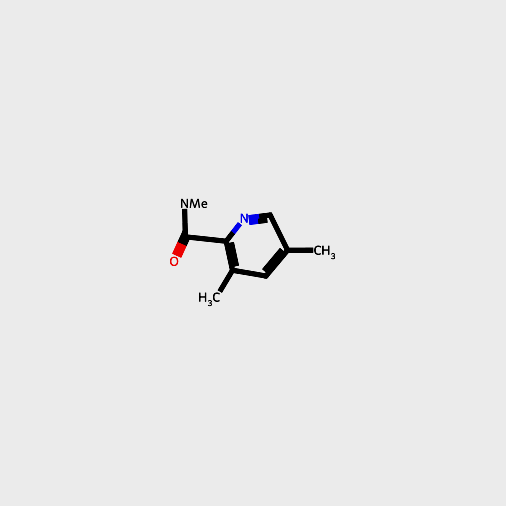 CNC(=O)c1ncc(C)cc1C